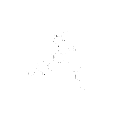 CCCC[S+]([O-])CSc1nc(-c2cnc(N)nc2)cc(-c2cnc(C)n2C)c1C#N